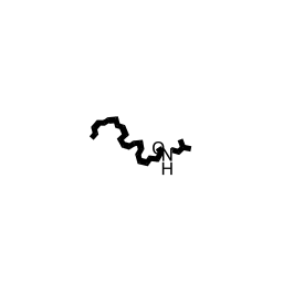 CC/C=C\C/C=C\C/C=C\C/C=C\C/C=C\C/C=C\CCC(=O)NCCC(C)C